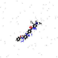 CN(C)c1ccc(NC(=O)c2ccc(-c3nc4cc(NC(=O)c5ccccc5)ccc4[nH]3)cc2)cc1